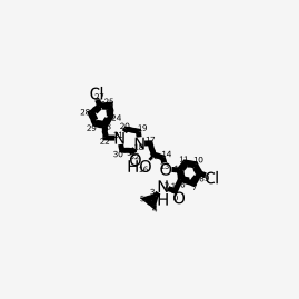 O=C(NC1CC1)c1cc(Cl)ccc1OC[C@@H](O)CN1CCN(Cc2ccc(Cl)cc2)CC1=O